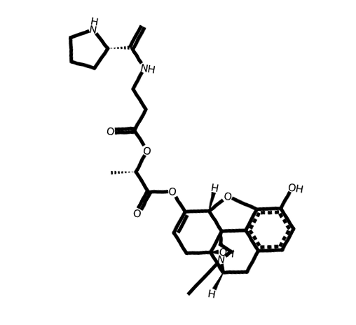 C=C(NCCC(=O)O[C@@H](C)C(=O)OC1=CC[C@@]2(O)[C@H]3Cc4ccc(O)c5c4[C@@]2(CCN3C)[C@H]1O5)[C@@H]1CCCN1